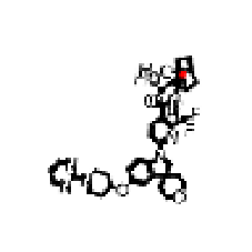 CC12CC3CC1CC2CC3(NC(=O)c1ccc(N2CC3(CCOCC3)c3cc(OC4CCN(c5ncccn5)CC4)ccc32)nc1C(F)(F)F)C(=O)O